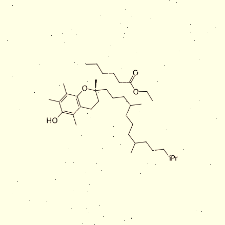 CCCCCC(=O)OCC.Cc1c(C)c2c(c(C)c1O)CC[C@@](C)(CCCC(C)CCCC(C)CCCC(C)C)O2